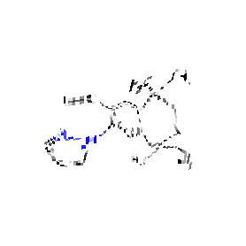 CC1(C)CCC(C)(C)c2cc(-n3cccn3)c(C=O)cc21